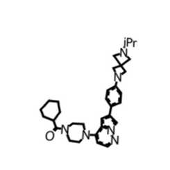 CC(C)N1CC2(CN(c3ccc(-c4cc5c(N6CCN(C(=O)C7CCCCC7)CC6)ccnn5c4)cc3)C2)C1